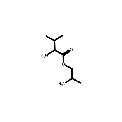 CC(N)COC(=O)C(N)C(C)C